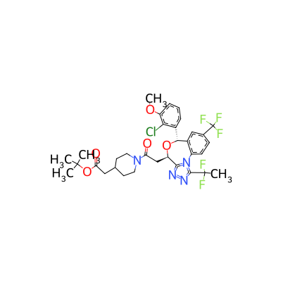 COc1cccc([C@H]2O[C@H](CC(=O)N3CCC(CC(=O)OC(C)(C)C)CC3)c3nnc(C(C)(F)F)n3-c3ccc(C(F)(F)F)cc32)c1Cl